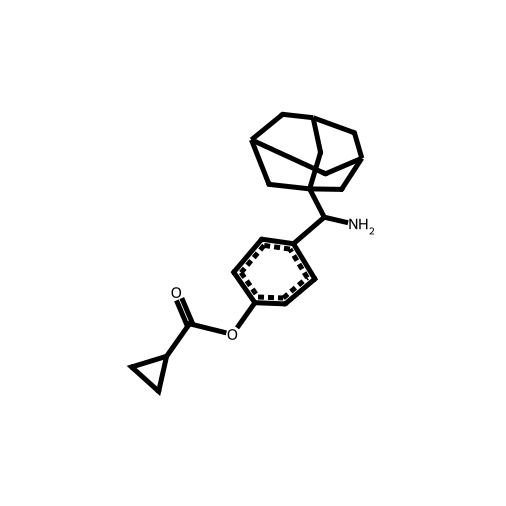 NC(c1ccc(OC(=O)C2CC2)cc1)C12CC3CC(CC(C3)C1)C2